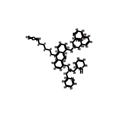 S=C=NCCCCCc1c2cccc(CN(CC3=CC=CCN3)Cc3ccccn3)c2nc2c(CN(Cc3ccccn3)CC3C=CC=CN3)cccc12